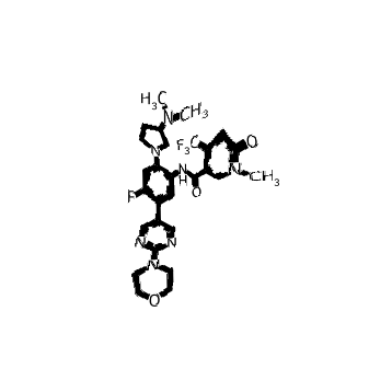 CN(C)C1CCN(c2cc(F)c(-c3cnc(N4CCOCC4)nc3)cc2NC(=O)c2cn(C)c(=O)cc2C(F)(F)F)C1